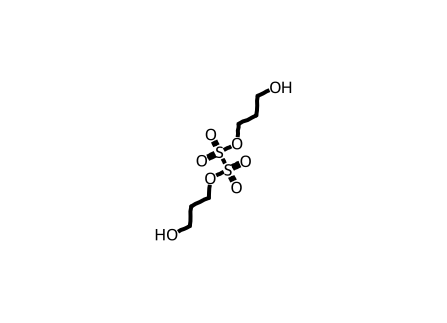 O=S(=O)(OCCCO)S(=O)(=O)OCCCO